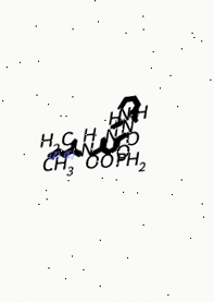 C=C/C(=C\C=C/C)CNC(=O)c1cn2c(c(OP)c1=O)C(=O)N1C[C@H]3CCCCN3[C@H]1C2